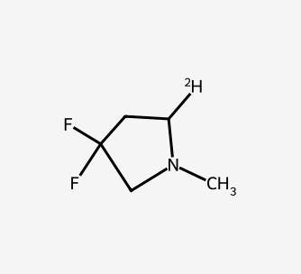 [2H]C1CC(F)(F)CN1C